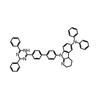 c1ccc(C2=NC(c3ccccc3)N=C(c3ccc(-c4ccc(N5C6=NCCCC6c6cc(N(c7ccccc7)c7ccccc7)ccc65)cc4)cc3)N2)cc1